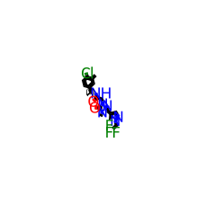 Cc1cc([C@H](C)NC(=O)Cn2nc(-c3cnn(CC(F)(F)F)c3)n(C)c2=O)ccc1Cl